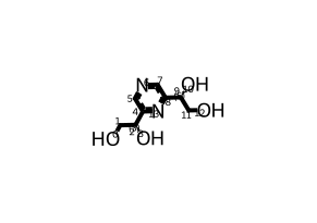 OC[C@@H](O)c1cncc([C@H](O)CO)n1